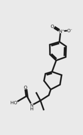 CC(C)(CC1CC=C(c2ccc([N+](=O)[O-])cc2)CC1)NC(=O)O